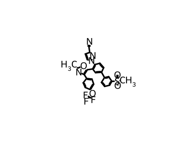 Cc1nc(-c2ccc(OC(F)(F)F)cc2)c(-c2cc(-c3cccc(S(C)(=O)=O)c3)ccc2-n2ccc(C#N)n2)o1